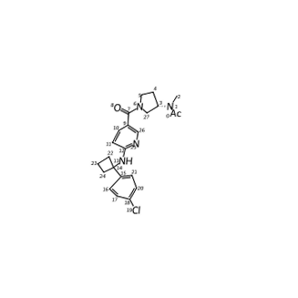 CC(=O)N(C)[C@H]1CCN(C(=O)c2ccc(NC3(c4ccc(Cl)cc4)CCC3)nc2)C1